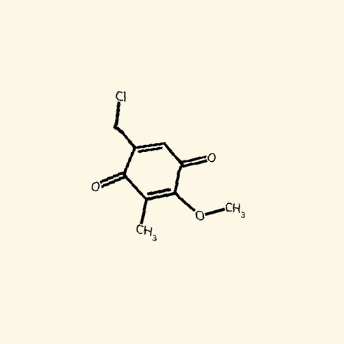 COC1=C(C)C(=O)C(CCl)=CC1=O